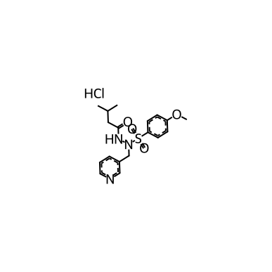 COc1ccc(S(=O)(=O)N(Cc2cccnc2)NC(=O)CC(C)C)cc1.Cl